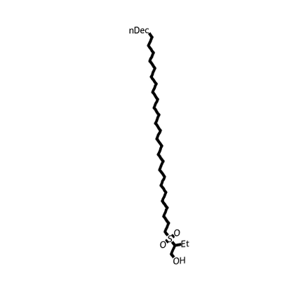 CCCCCCCCCCCCCCCCCCCCCCCCCCCCCCCCCCCCS(=O)(=O)C(CC)CO